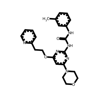 Cc1cccc(NC(=O)Nc2nc(OCCc3ccccn3)cc(N3CCOCC3)n2)c1